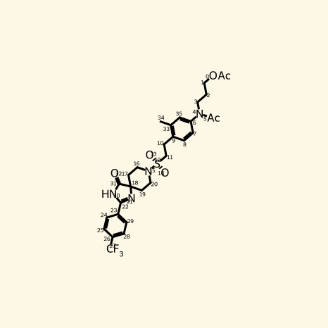 CC(=O)OCCCN(C(C)=O)c1ccc(CCS(=O)(=O)N2CCC3(CC2)N=C(c2ccc(C(F)(F)F)cc2)NC3=O)c(C)c1